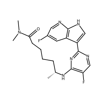 C[C@H](CCCCC(=O)N(C)C)Nc1nc(-c2c[nH]c3ncc(F)cc23)ncc1F